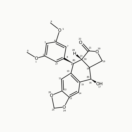 COc1cc(OC)cc([C@@H]2c3cc4c(cc3[C@H](O)C3COC(=O)[C@H]32)OCO4)c1